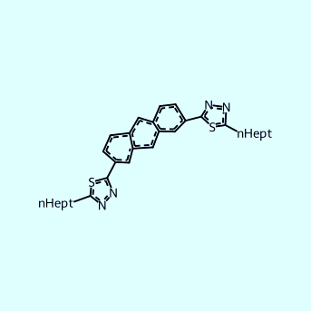 CCCCCCCc1nnc(-c2ccc3cc4ccc(-c5nnc(CCCCCCC)s5)cc4cc3c2)s1